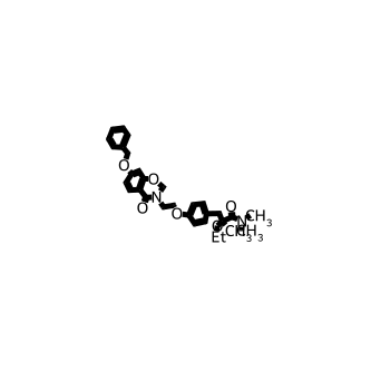 CCOC(C)(Cc1ccc(OCCN2COc3cc(OCc4ccccc4)ccc3C2=O)cc1)C(=O)N(C)C